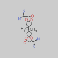 CC(C)(C1CCC2(CC1)OC(=O)CC(=C(C#N)C#N)O2)C1CCC2(CC1)OC(=O)CC(=C(C#N)C#N)O2